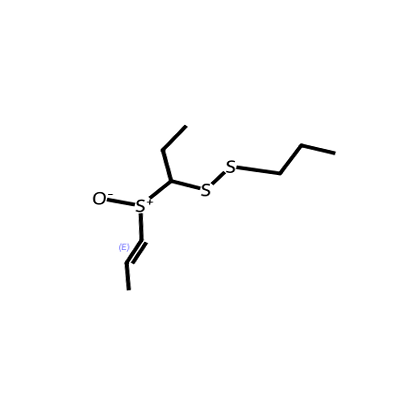 C/C=C/[S+]([O-])C(CC)SSCCC